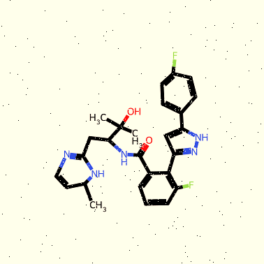 CC1C=CN=C(CC(NC(=O)c2cccc(F)c2-c2cc(-c3ccc(F)cc3)[nH]n2)C(C)(C)O)N1